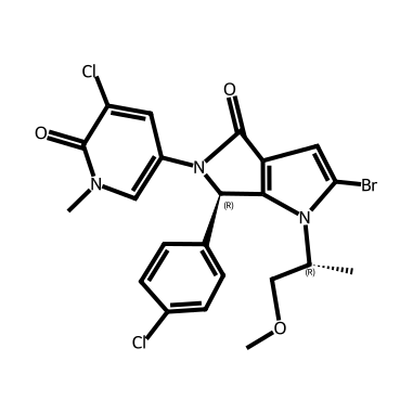 COC[C@@H](C)n1c(Br)cc2c1[C@@H](c1ccc(Cl)cc1)N(c1cc(Cl)c(=O)n(C)c1)C2=O